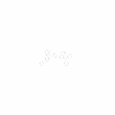 Cc1ccc2c(c1)c1cc(-c3ccccc3)ccc1n2-c1ccc2c(c1)C(C)(C)c1cc(N(c3ccccc3)c3ccc([Si](C)(C)C)cc3)c3ccccc3c1-2